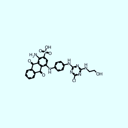 Nc1c(S(=O)(=O)O)cc(Nc2ccc(Nc3nc(Cl)nc(NCCO)n3)cc2)c2c1C(=O)c1ccccc1C2=O